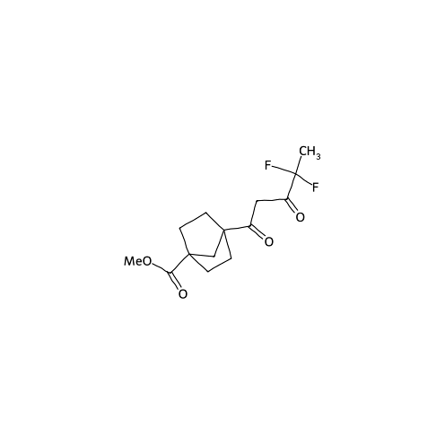 COC(=O)C12CCC(C(=O)CC(=O)C(C)(F)F)(CC1)C2